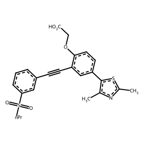 CCCS(=O)(=O)c1cccc(C#Cc2cc(-c3sc(C)nc3C)ccc2OCC(=O)O)c1